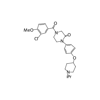 COc1ccc(C(=O)N2CCN(c3ccc(OC4CCN(C(C)C)CC4)cc3)C(=O)C2)cc1Cl